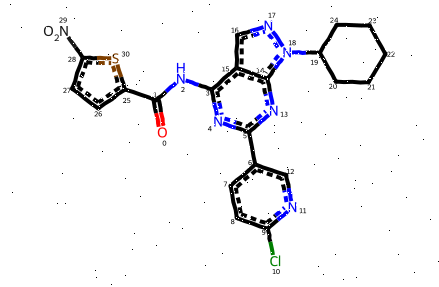 O=C(Nc1nc(-c2ccc(Cl)nc2)nc2c1cnn2C1CCCCC1)c1ccc([N+](=O)[O-])s1